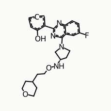 Oc1ccccc1-c1nc(N2CC[C@@H](NOCCC3CCOCC3)C2)c2cc(F)ccc2n1